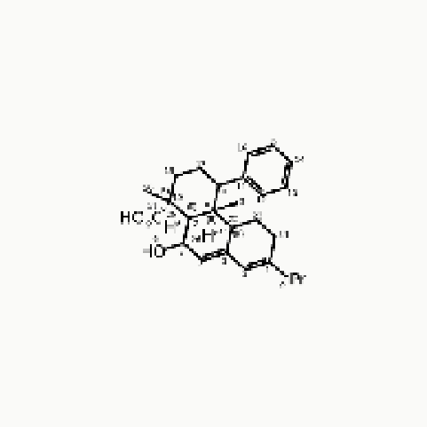 CC(C)C1=CC2=CC(O)[C@@H]3[C@](C)(C(c4ccccc4)CC[C@@]3(C)C(=O)O)[C@H]2CC1